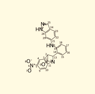 O=C1C2c3cc([N+](=O)[O-])ccc3N1C2c1ccccc1Nc1ccc2cn[nH]c2c1